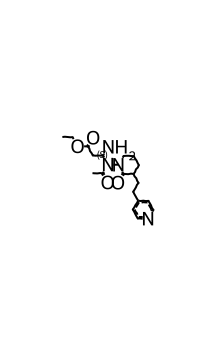 CCOC(=O)C[C@@H](N)N(C(C)=O)N1CCCC(CCc2ccncc2)C1=O